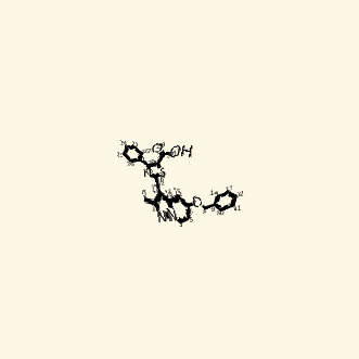 Cc1nn2ccc(OCc3ccccc3)cc2c1-c1nc(-c2ccccc2)c(C(=O)O)s1